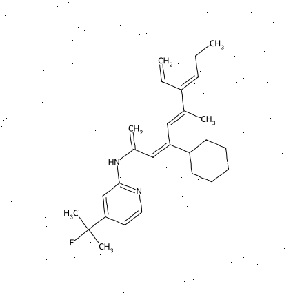 C=CC(=C\CC)/C(C)=C/C(=C\C(=C)Nc1cc(C(C)(C)F)ccn1)C1CCCCC1